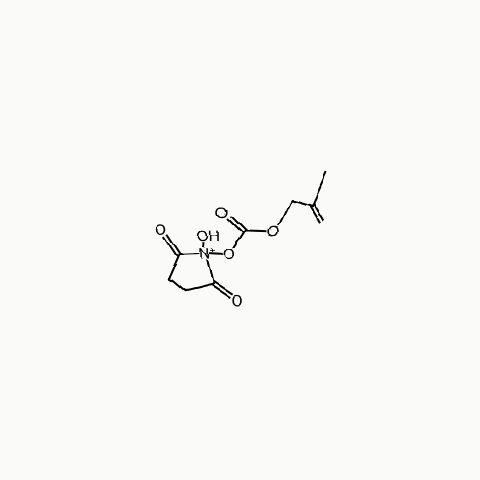 C=C(C)COC(=O)O[N+]1(O)C(=O)CCC1=O